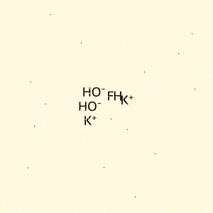 F.[K+].[K+].[OH-].[OH-]